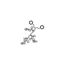 CC(C)(C)OC(=O)NCC[C@@H](CCN(CC(CCc1ccccc1)CCc1ccccc1)C(=O)OC(C)(C)C)NC(=O)OC(C)(C)C